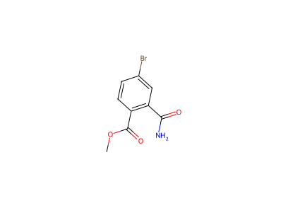 COC(=O)c1ccc(Br)cc1C(N)=O